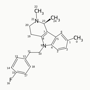 Cc1ccc2c(c1)c1c(n2CCc2ccc(F)cc2)CCN(C)[C@H]1C